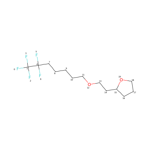 FC(F)(F)C(F)(F)CCCCCOCCC1CCCO1